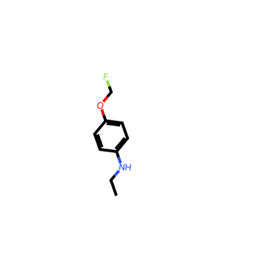 CCNc1ccc(OCF)cc1